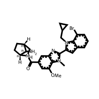 COc1cc(C(=O)N2C[C@H]3CC[C@@H]2[C@@H]3N)cc2nc(-c3cc4cccc(Br)c4n3CC3CC3)n(C)c12